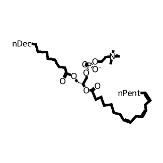 CCCCC/C=C\C/C=C\C/C=C\CCCCCCC(=O)O[C@H](COC(=O)CCCCCCCCCCCCCCCCC)COP(=O)([O-])OCC[N+](C)(C)C